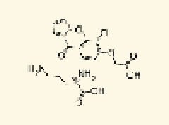 NCCC[C@H](N)C(=O)O.O=C(O)COc1ccc(C(=O)c2cccs2)c(Cl)c1Cl